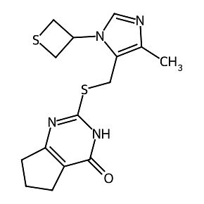 Cc1ncn(C2CSC2)c1CSc1nc2c(c(=O)[nH]1)CCC2